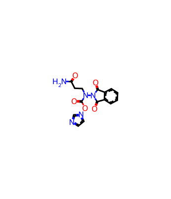 NC(=O)CCN(C(=O)On1ccnc1)N1C(=O)c2ccccc2C1=O